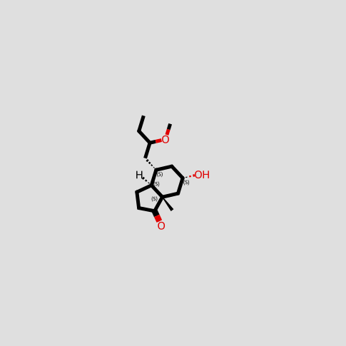 CCC(C[C@@H]1C[C@H](O)C[C@]2(C)C(=O)CC[C@@H]12)OC